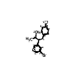 CC(O)C(Cc1ccc(Cl)cc1)c1cncc(Br)c1